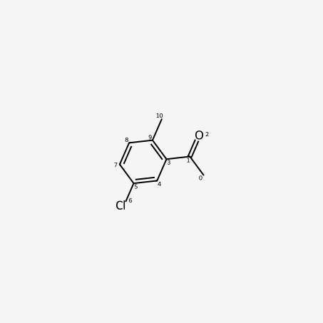 CC(=O)c1cc(Cl)ccc1C